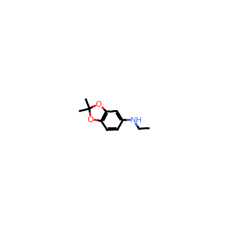 CCNc1ccc2c(c1)OC(C)(C)O2